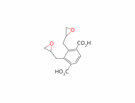 O=C(O)c1ccc(C(=O)O)c(CC2CO2)c1CC1CO1